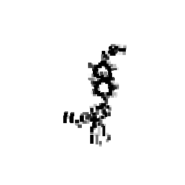 CC(C)(C)OC(=O)N1CCC2(CCC(=NO)CC2)CC1